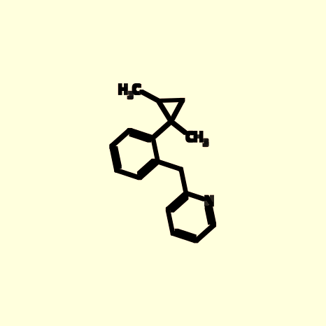 CC1CC1(C)c1ccccc1Cc1ccccn1